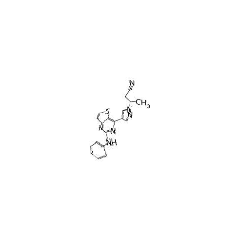 CC(CC#N)n1cc(-c2nc(Nc3ccccc3)nc3ccsc23)cn1